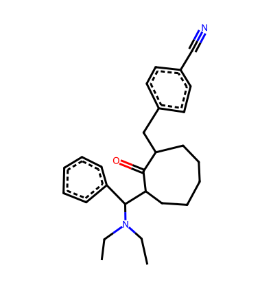 CCN(CC)C(c1ccccc1)C1CCCCCC(Cc2ccc(C#N)cc2)C1=O